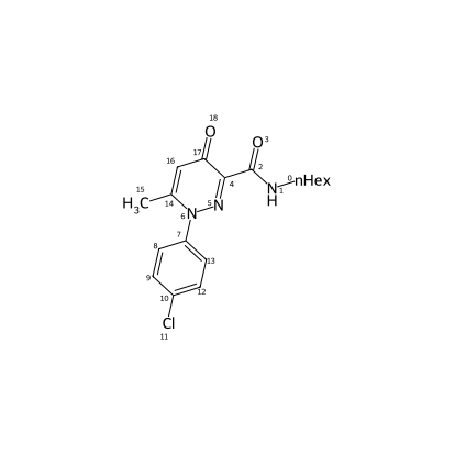 CCCCCCNC(=O)c1nn(-c2ccc(Cl)cc2)c(C)cc1=O